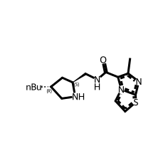 CCCC[C@H]1CN[C@H](CNC(=O)c2c(C)nc3sccn23)C1